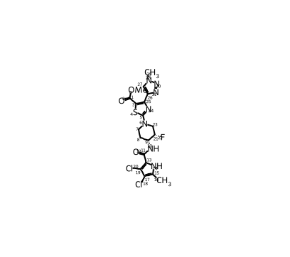 COC(=O)c1sc(N2CC[C@@H](NC(=O)c3[nH]c(C)c(Cl)c3Cl)[C@@H](F)C2)nc1-c1cn(C)nn1